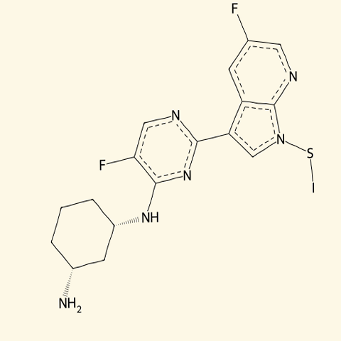 N[C@@H]1CCC[C@H](Nc2nc(-c3cn(SI)c4ncc(F)cc34)ncc2F)C1